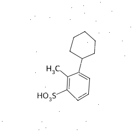 Cc1c(C2CCCCC2)cccc1S(=O)(=O)O